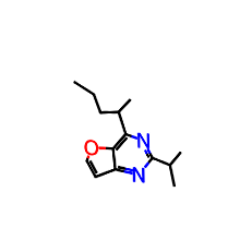 CCCC(C)c1nc(C(C)C)nc2ccoc12